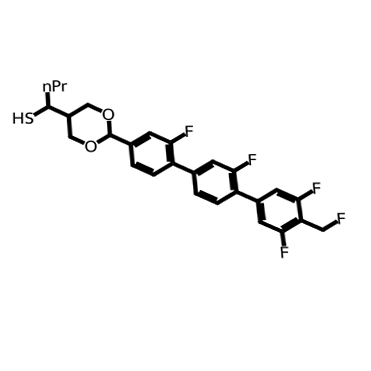 CCCC(S)C1COC(c2ccc(-c3ccc(-c4cc(F)c(CF)c(F)c4)c(F)c3)c(F)c2)OC1